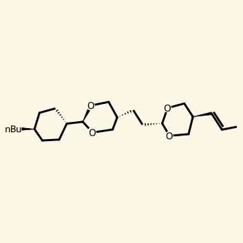 CC=C[C@H]1CO[C@H](CC[C@H]2CO[C@H]([C@H]3CC[C@H](CCCC)CC3)OC2)OC1